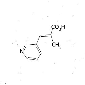 CC(=Cc1cccnc1)C(=O)O